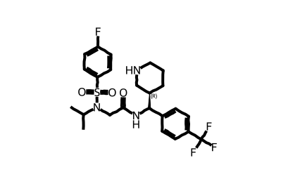 CC(C)N(CC(=O)NC(c1ccc(C(F)(F)F)cc1)[C@@H]1CCCNC1)S(=O)(=O)c1ccc(F)cc1